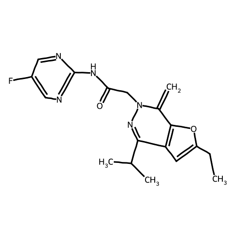 C=C1c2oc(CC)cc2C(C(C)C)=NN1CC(=O)Nc1ncc(F)cn1